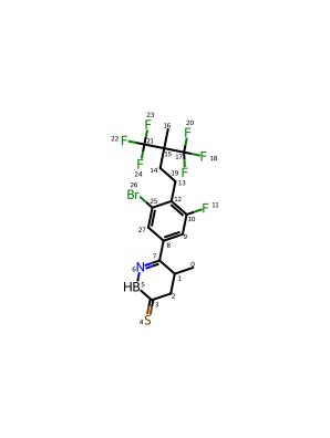 CC1CC(=S)BN=C1c1cc(F)c(CCC(C)(C(F)(F)F)C(F)(F)F)c(Br)c1